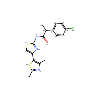 Cc1nc(C)c(-c2csc(NC(=O)C(C)c3ccc(Cl)cc3)n2)s1